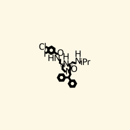 CC(C)NCC[C@@H]1N[C@H](CCNC(=O)c2ccc(Cl)c(I)c2)CCN(CC(c2ccccc2)c2ccccc2)C1=O